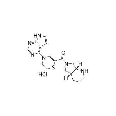 Cl.O=C(C1=CN(c2ncnc3[nH]ccc23)CCS1)N1C[C@H]2CCCN[C@H]2C1